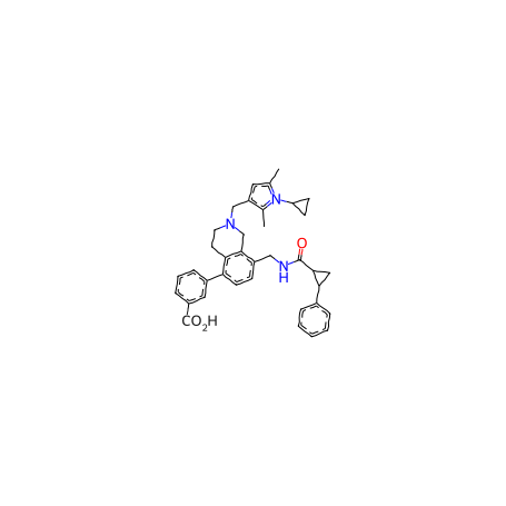 Cc1cc(CN2CCc3c(-c4cccc(C(=O)O)c4)ccc(CNC(=O)C4CC4c4ccccc4)c3C2)c(C)n1C1CC1